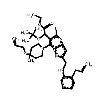 C=CCOC1(C)CCN(c2c(C(OC(C)(C)C)C(=O)OCC)c(C)nc3cc(CNc4ccccc4CC=C)nn23)CC1